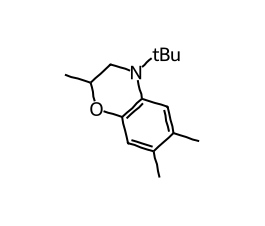 Cc1cc2c(cc1C)N(C(C)(C)C)CC(C)O2